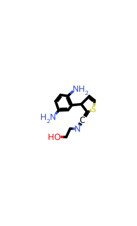 Nc1ccc(N)c(C2C=CSC2=C=NCCO)c1